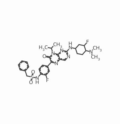 CC(C)n1c(=O)c(-c2ccc(NS(=O)(=O)Cc3ccccc3)c(F)c2)nc2cnc(NC3CCC(N(C)C)C(F)C3)nc21